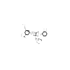 Cc1cccc(C)c1N1C[C@@](CN2CCOCC2)(C(=O)Nc2cc(C#N)cc(C(F)(F)F)c2)[C@H](C)C1=O